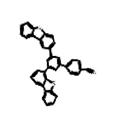 N#Cc1ccc(-c2cc(-c3ccc4sc5ccccc5c4c3)cc(-c3cccc4c3sc3ccccc34)c2)cc1